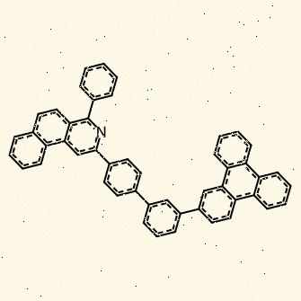 c1ccc(-c2nc(-c3ccc(-c4cccc(-c5ccc6c7ccccc7c7ccccc7c6c5)c4)cc3)cc3c2ccc2ccccc23)cc1